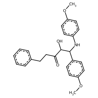 COc1ccc(NC(c2ccc(OC)cc2)C(O)C(=O)CCc2ccccc2)cc1